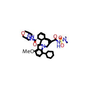 COc1ccc(C2CCCCC2)c2c1cc1n2CC2=C(C(=O)NS(=O)(=O)N(C)C)C2=C2C=CC[C@@H](C(=O)N3CC4COCC(C3)N4)C21